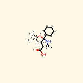 CNC(CCC(=O)O)(O[Si](C)(C)C)C1CCCCC1